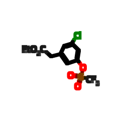 CCOC(=O)Cc1cc(Cl)cc(OS(=O)(=O)C(F)(F)F)c1